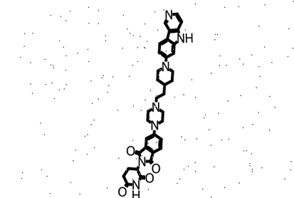 O=C1CCC(N2C(=O)c3ccc(N4CCN(CCC5CCN(c6ccc7c(c6)[nH]c6ccncc67)CC5)CC4)cc3C2=O)C(=O)N1